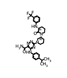 CC(C)c1ccc(Nc2nc(N3CCC[C@@H](N4CCC[C@@H](Nc5cccc(C(F)(F)F)c5)C4=O)C3)nnc2C(N)=O)cc1